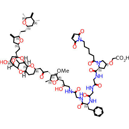 C=C1C[C@H](CC[C@]23C[C@@H](O)[C@H](O2)C2O[C@H]4CC[C@H](CC(=O)C[C@@H]5[C@@H](OC)[C@@H](C[C@H](O)CNC(=O)CNC(=O)[C@H](Cc6ccccc6)NC(=O)CNC(=O)CNC(=O)[C@@H]6C[C@@H](OCC(=O)O)CN6C(=O)CCCCCN6C(=O)C=CC6=O)O[C@H]5C)O[C@@H]4[C@H](O3)C2C)O[C@H]1CC[C@H]1C[C@@H](C)C(=C)[C@@H](C)O1